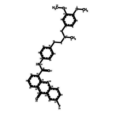 COc1ccc(CN(C)CCc2ccc(NC(=O)c3cccc4c(=O)c5cc(F)ccc5sc34)cc2)cc1OC